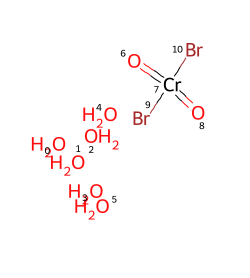 O.O.O.O.O.O.[O]=[Cr](=[O])([Br])[Br]